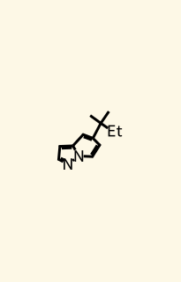 CCC(C)(C)c1ccn2nccc2c1